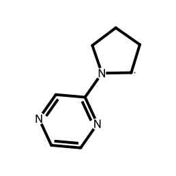 [CH]1CCCN1c1cnccn1